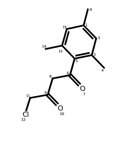 Cc1cc(C)c(C(=O)CC(=O)CCl)c(C)c1